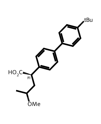 COC(C)C[C@@H](C(=O)O)c1ccc(-c2ccc(C(C)(C)C)cc2)cc1